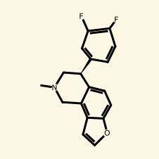 CN1Cc2c(ccc3occc23)[C@H](c2ccc(F)c(F)c2)C1